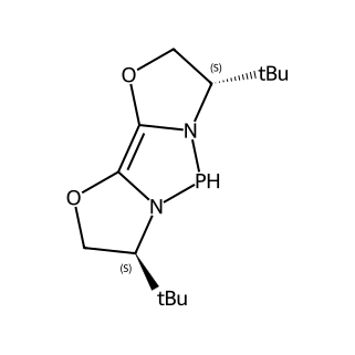 CC(C)(C)[C@H]1COC2=C3OC[C@H](C(C)(C)C)N3PN21